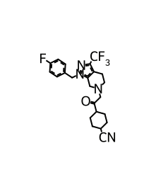 N#CC1CCC(C(=O)CN2CCc3c(C(F)(F)F)nn(Cc4ccc(F)cc4)c3C2)CC1